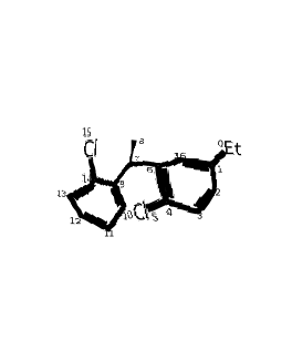 CCc1ccc(Cl)c([C@H](C)c2ccccc2Cl)c1